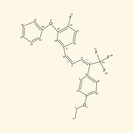 CCOc1ccc(/C(=C\C=C/c2ccc(F)c(Oc3ccccc3)c2)C(F)(F)F)cc1